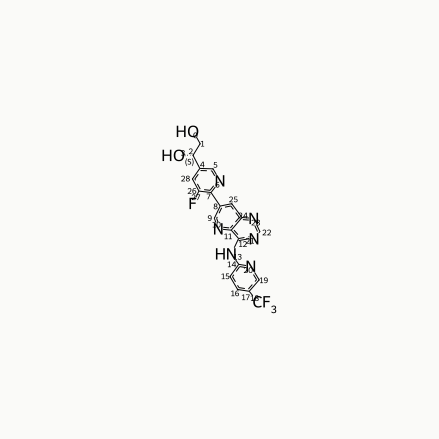 OC[C@@H](O)c1cnc(-c2cnc3c(Nc4ccc(C(F)(F)F)cn4)ncnc3c2)c(F)c1